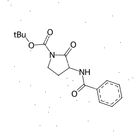 CC(C)(C)OC(=O)N1CCC(NC(=O)c2ccccc2)C1=O